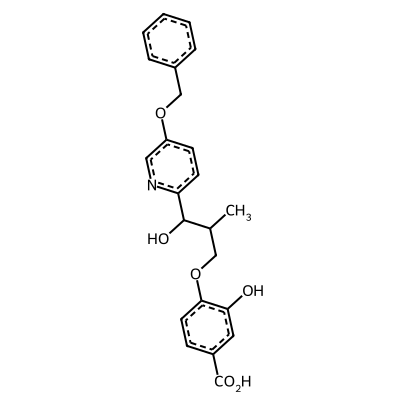 CC(COc1ccc(C(=O)O)cc1O)C(O)c1ccc(OCc2ccccc2)cn1